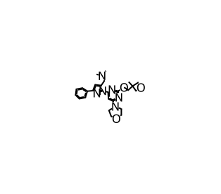 CN(C)Cc1cc(-c2ccccc2)nn1-c1cc(N2CCOCC2)nc(OCC2(C)COC2)n1